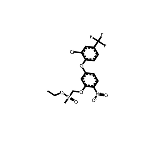 CCOP(C)(=O)COc1cc(Oc2ccc(C(F)(F)F)cc2Cl)ccc1[N+](=O)[O-]